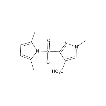 Cc1ccc(C)n1S(=O)(=O)c1nn(C)cc1C(=O)O